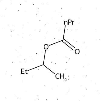 [CH2]C(CC)OC(=O)CCC